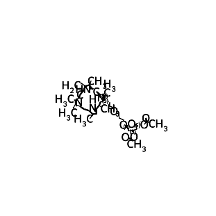 C=Cc1c(C)c2cc3nc(c(C)c4cc(C)c(cc5nc(cc1[nH]2)C(C)=C5CC)[nH]4)[C@@H](CCCOCCCO[C@H]1C[C@@H](OC(C)=O)C[C@@H](COC(C)=O)O1)[C@@H]3C